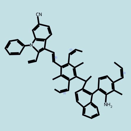 C=Cc1c(/C=C/c2c(C)c(/C=C\C)c(C(C)c3ccc4ccccc4c3-c3ccc(/C=C\C)c(C)c3N)c(C)c2/C=C\C)c2ccc(C#N)cc2n1-c1ccccc1